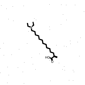 C=C(CCCCCCCCCCCCN(CC)CC)C(=O)O